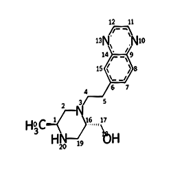 C[C@H]1CN(CCc2ccc3nccnc3c2)[C@H](CO)CN1